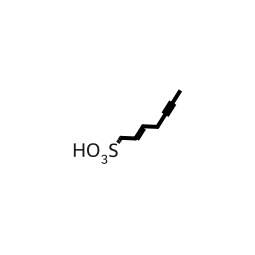 CC#CCC=CCS(=O)(=O)O